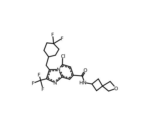 O=C(NC1CC2(COC2)C1)c1cc(Cl)n2c(CC3CCC(F)(F)CC3)c(C(F)(F)F)nc2c1